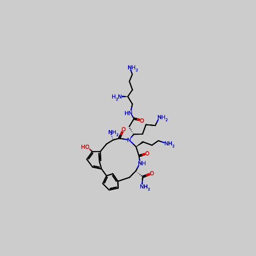 NCCC[C@H](N)CNC(=O)C[C@H](CCCN)N1C(=O)[C@@H](N)Cc2cc(ccc2O)-c2cccc(c2)C[C@@H](C(N)=O)NC(=O)[C@@H]1CCCN